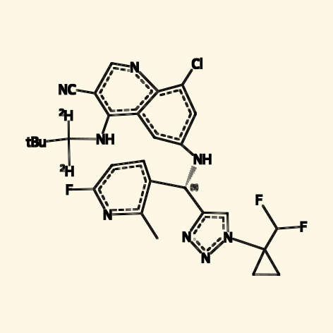 [2H]C([2H])(Nc1c(C#N)cnc2c(Cl)cc(N[C@H](c3cn(C4(C(F)F)CC4)nn3)c3ccc(F)nc3C)cc12)C(C)(C)C